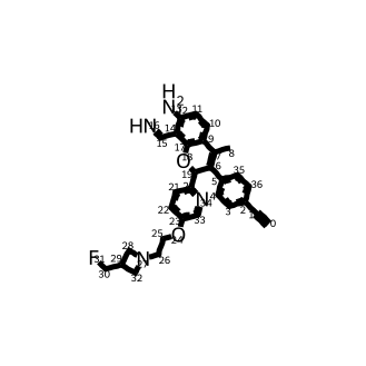 C#Cc1ccc(C2=C(C)c3ccc(N)c(C=N)c3OC2c2ccc(OCCN3CC(CF)C3)cn2)cc1